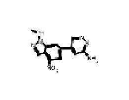 Nc1cc(-c2cc([N+](=O)[O-])c3cnn(PI)c3c2)cnn1